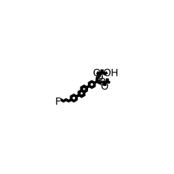 C=C(C)C(=O)OCC(COC(=O)C(=C)CO)C1CCC(c2ccc3cc(C4CCC(CCCCF)CC4)ccc3c2)CC1